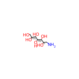 NC[C@H](O)[C@H](O)[C@H](O)[C@@H](O)[C@H](O)CO